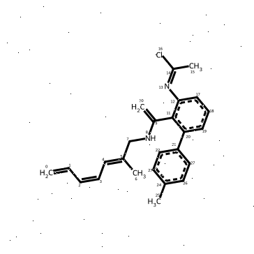 C=C/C=C\C=C(/C)CNC(=C)c1c(/N=C(\C)Cl)cccc1-c1ccc(C)cc1